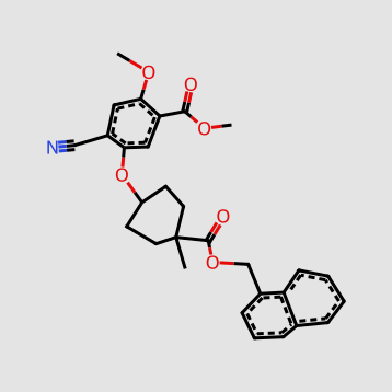 COC(=O)c1cc(OC2CCC(C)(C(=O)OCc3cccc4ccccc34)CC2)c(C#N)cc1OC